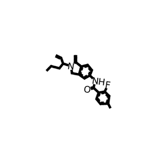 C=CC(CCC)N1Cc2cc(NC(=O)c3ccc(C)cc3F)ccc2C1=C